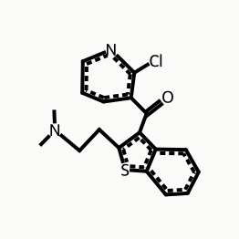 CN(C)CCc1sc2ccccc2c1C(=O)c1cccnc1Cl